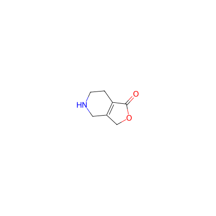 O=C1OCC2=C1CCNC2